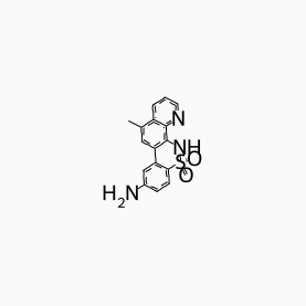 Cc1cc2c(c3ncccc13)NS(=O)(=O)c1ccc(N)cc1-2